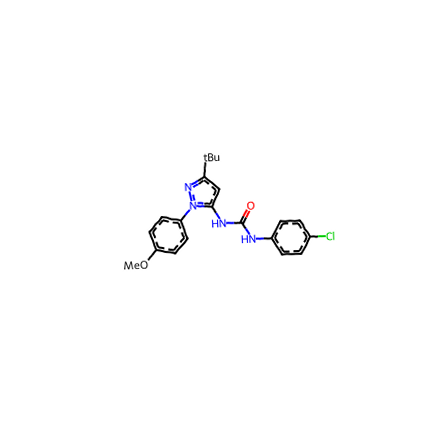 COc1ccc(-n2nc(C(C)(C)C)cc2NC(=O)Nc2ccc(Cl)cc2)cc1